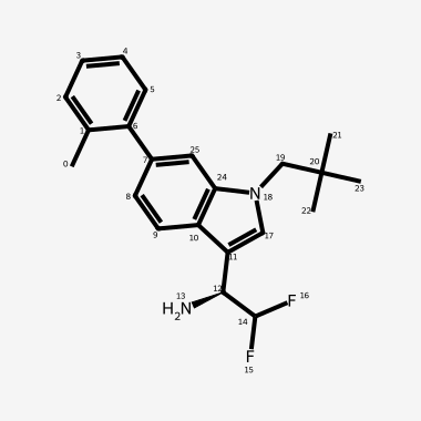 Cc1ccccc1-c1ccc2c([C@H](N)C(F)F)cn(CC(C)(C)C)c2c1